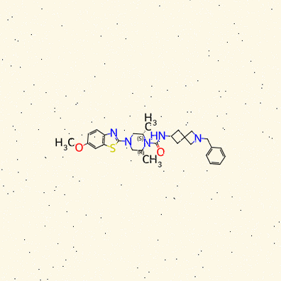 COc1ccc2nc(N3C[C@@H](C)N(C(=O)NC4CC5(C4)CN(Cc4ccccc4)C5)[C@@H](C)C3)sc2c1